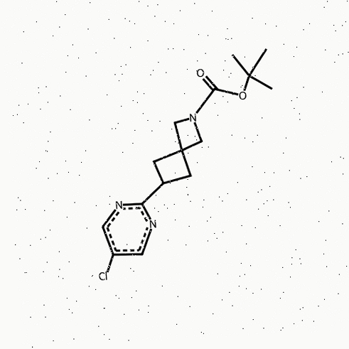 CC(C)(C)OC(=O)N1CC2(CC(c3ncc(Cl)cn3)C2)C1